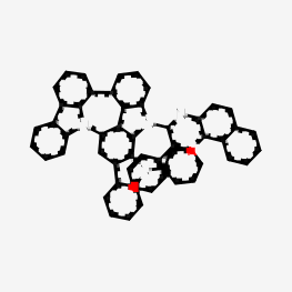 c1ccc(-c2nc3c(ccc4ccccc43)nc2-n2c3cccc4c5cccc6c7ccccc7n(c7cc8c9ccccc9n(-c9ccccc9)c8c2c7c43)c56)cc1